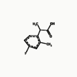 Cc1cc(F)ccc1C(C)C(=O)O